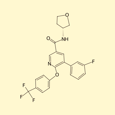 O=C(N[C@@H]1CCOC1)c1cnc(Oc2ccc(C(F)(F)F)cc2)c(-c2cccc(F)c2)c1